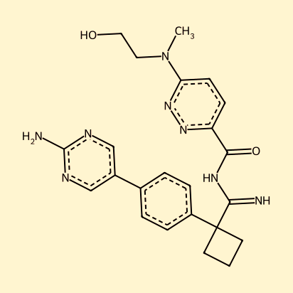 CN(CCO)c1ccc(C(=O)NC(=N)C2(c3ccc(-c4cnc(N)nc4)cc3)CCC2)nn1